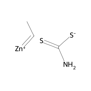 C[CH]=[Zn+].NC(=S)[S-]